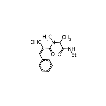 CCNC(=O)C(C)N(C)C(=O)C([C]=O)=Cc1ccccc1